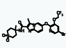 Cc1c(C(=O)NC2(C)CCS(=O)(=O)CC2)nc2ccc(Oc3ncc(Br)cc3OCC(F)(F)F)cn12